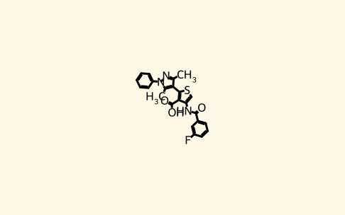 Cc1nn(-c2ccccc2)c(C)c1-c1scc(NC(=O)c2cccc(F)c2)c1C(=O)O